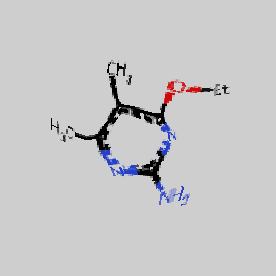 CCOc1nc(N)nc(C)c1C